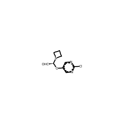 O=C[C@H](Oc1cnc(Cl)nc1)N1CCC1